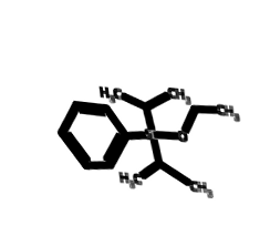 CCO[Si](c1ccccc1)(C(C)C)C(C)C